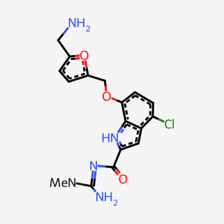 CNC(N)=NC(=O)c1cc2c(Cl)ccc(OCc3ccc(CN)o3)c2[nH]1